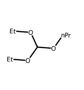 CCCO[C](OCC)OCC